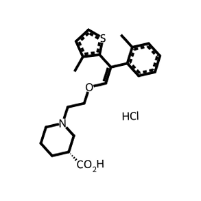 Cc1ccccc1/C(=C/OCCN1CCC[C@@H](C(=O)O)C1)c1sccc1C.Cl